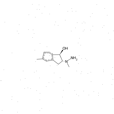 Cc1ccc2c(c1)C[C@@H](N(C)N)[C@@H]2O